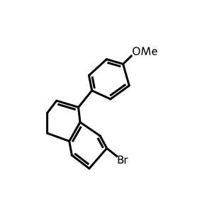 COc1ccc(C2=CCCc3ccc(Br)cc32)cc1